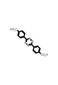 O=C(O)c1ccc(-c2nnc(-c3ccc(C(=O)O)cc3)nn2)cc1